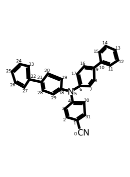 N#Cc1ccc(N(c2ccc(-c3ccccc3)cc2)c2ccc(-c3ccccc3)cc2)cc1